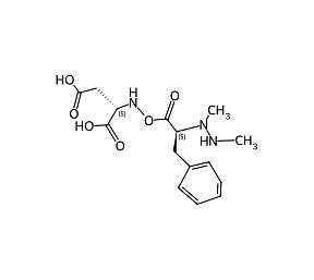 CNN(C)[C@@H](Cc1ccccc1)C(=O)ON[C@@H](CC(=O)O)C(=O)O